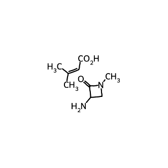 CC(C)=CC(=O)O.CN1CC(N)C1=O